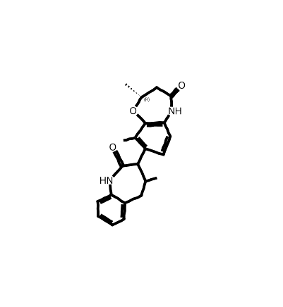 Cc1c(C2C(=O)Nc3ccccc3CC2C)ccc2c1O[C@H](C)CC(=O)N2